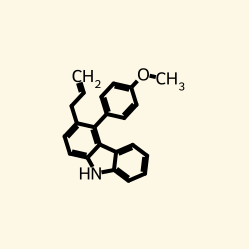 C=CCc1ccc2[nH]c3ccccc3c2c1-c1ccc(OC)cc1